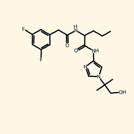 CCCC(NC(=O)Cc1cc(F)cc(F)c1)C(=O)Nc1cn(C(C)(C)CO)cn1